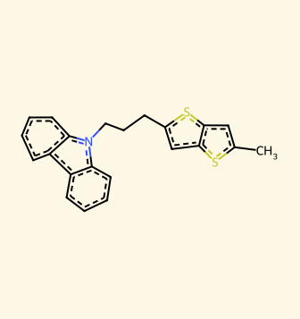 Cc1cc2sc(CCCn3c4ccccc4c4ccccc43)cc2s1